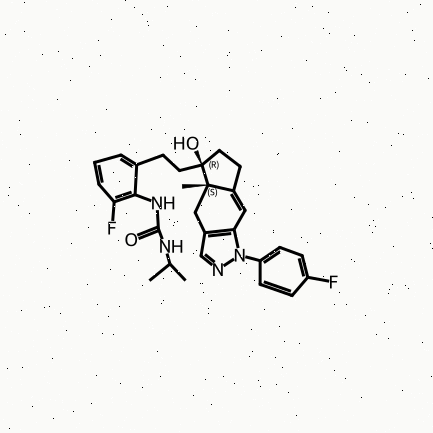 CC(C)NC(=O)Nc1c(F)cccc1CC[C@]1(O)CCC2=Cc3c(cnn3-c3ccc(F)cc3)C[C@@]21C